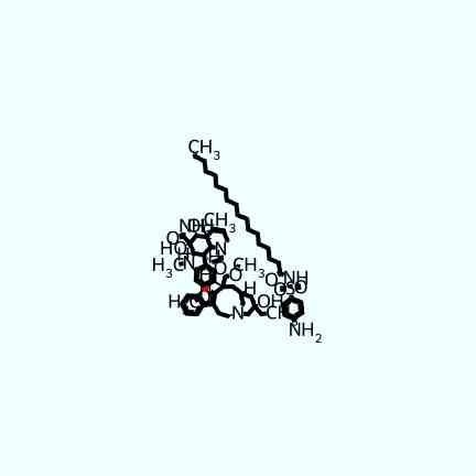 CCCCCCCCCCCCCCCCCC(=O)NS(=O)(=O)c1ccc(N)cc1.CC[C@]1(O)C[C@H]2C[N@](CCc3c([nH]c4ccccc34)[C@@](C(=O)OC)(c3cc4c(cc3OC)N(C)[C@H]3[C@@](O)(C(N)=O)[C@H](O)[C@]5(CC)C=CCN6CC[C@]43[C@@H]65)C2)C1